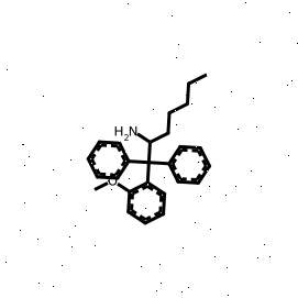 CCCCCC(N)C(c1ccccc1)(c1ccccc1)c1ccccc1OC